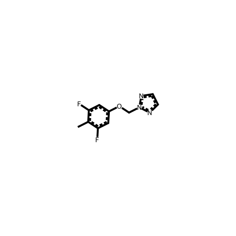 Cc1c(F)cc(OCn2nccn2)cc1F